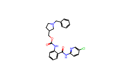 O=C(Nc1ccccc1C(=O)Nc1ccc(Cl)cn1)OCC1CCN(Cc2ccccc2)C1